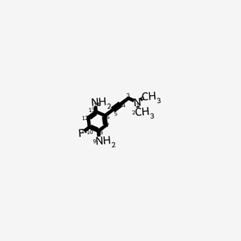 CN(C)CC#Cc1cc(N)c(F)cc1N